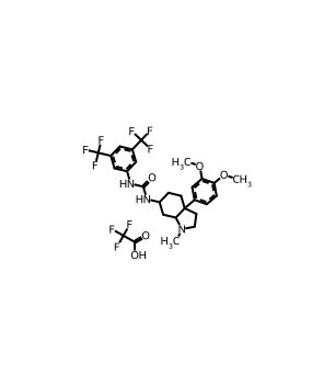 COc1ccc(C23CCC(NC(=O)Nc4cc(C(F)(F)F)cc(C(F)(F)F)c4)CC2N(C)CC3)cc1OC.O=C(O)C(F)(F)F